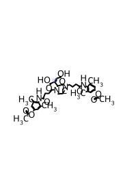 CC(=O)Oc1cc(C)c(NC(=O)CCCN2CCCN(CCCC(=O)Nc3c(C)cc(OC(C)=O)cc3C)C(/C(=C\C(=O)O)C(=O)O)C2)c(C)c1